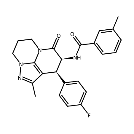 Cc1cccc(C(=O)N[C@@H]2C(=O)N3CCCn4nc(C)c(c43)[C@@H]2c2ccc(F)cc2)c1